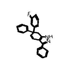 Fc1cccc(C2(c3ccccc3)C=Cc3c(-c4ccccc4)n[nH]c3C2)c1